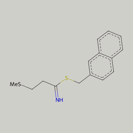 CSCCC(=N)SCc1ccc2ccccc2c1